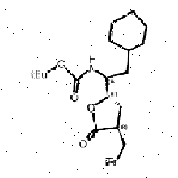 CC(C)C[C@@H]1C[C@@H]([C@H](CC2CCCCC2)NC(=O)OC(C)(C)C)OC1=O